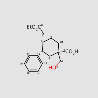 CCOC(C)=O.O=C(O)C1(CO)CCCCC1.c1ccccc1